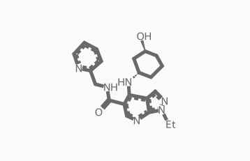 CCn1ncc2c(N[C@H]3CCC[C@H](O)C3)c(C(=O)NCc3ccccn3)cnc21